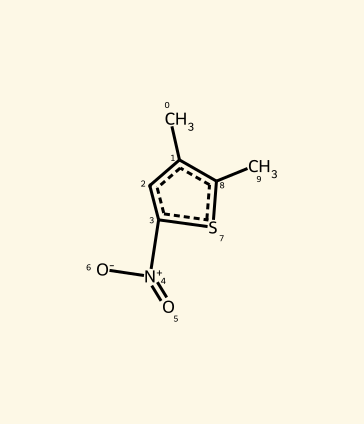 Cc1cc([N+](=O)[O-])sc1C